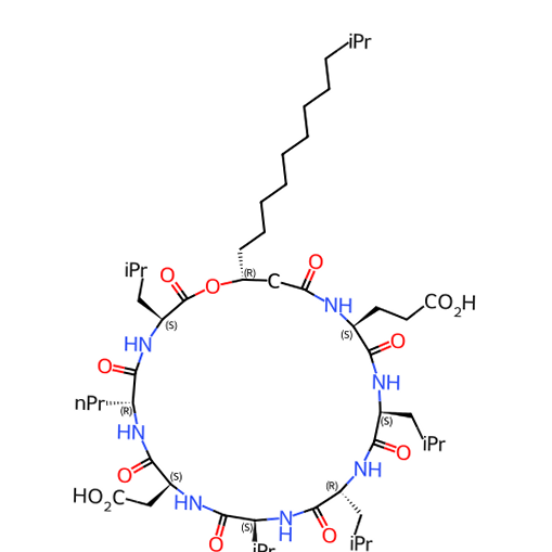 CCC[C@H]1NC(=O)[C@H](CC(=O)O)NC(=O)[C@H](C(C)C)NC(=O)[C@@H](CC(C)C)NC(=O)[C@H](CC(C)C)NC(=O)[C@H](CCC(=O)O)NC(=O)C[C@@H](CCCCCCCCCC(C)C)OC(=O)[C@H](CC(C)C)NC1=O